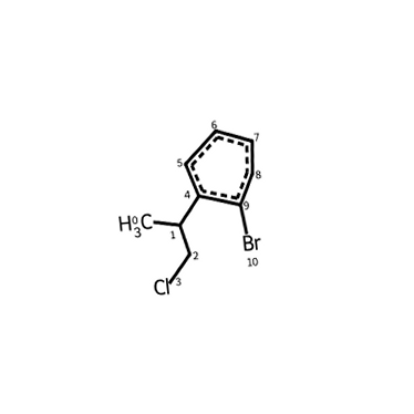 CC(CCl)c1ccccc1Br